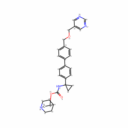 O=C(NC1(c2ccc(-c3ccc(COCc4cncnc4)cc3)cc2)CC1)OC1CN2CCC1CC2